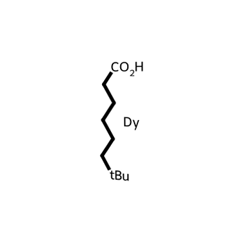 CC(C)(C)CCCCCC(=O)O.[Dy]